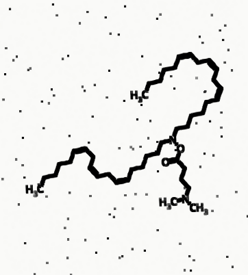 CCCCC/C=C\C/C=C\C/C=C\CCCCCN(CCCCC/C=C\C/C=C\C/C=C\CCCCC)OC(=O)CCCN(C)C